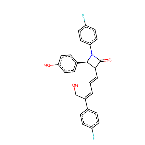 O=C1C(/C=C/C=C(\CO)c2ccc(F)cc2)[C@@H](c2ccc(O)cc2)N1c1ccc(F)cc1